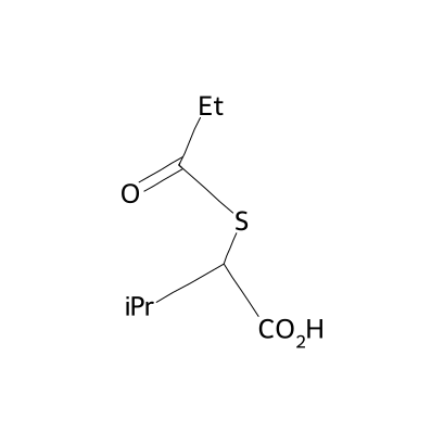 CCC(=O)SC(C(=O)O)C(C)C